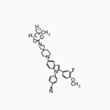 COc1ccc(-c2cc3cc(N4CCC5(CC4)CN(C(=O)OC(C)(C)C)C5)ccc3n2-c2ccc(C#N)cc2)cc1F